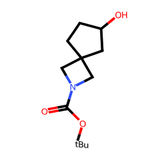 CC(C)(C)OC(=O)N1CC2(CCC(O)C2)C1